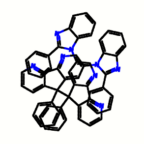 c1ccc(-c2nc3ccccc3n2-c2cnc3c(c2)C(c2ccccc2)(C2(c4ccccc4)c4cccnc4-c4ncc(-n5c(-c6ccccc6)nc6ccccc65)cc42)c2cccnc2-3)cc1